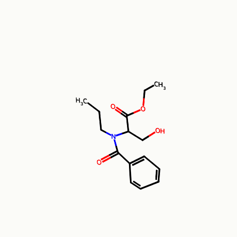 CCCN(C(=O)c1ccccc1)C(CO)C(=O)OCC